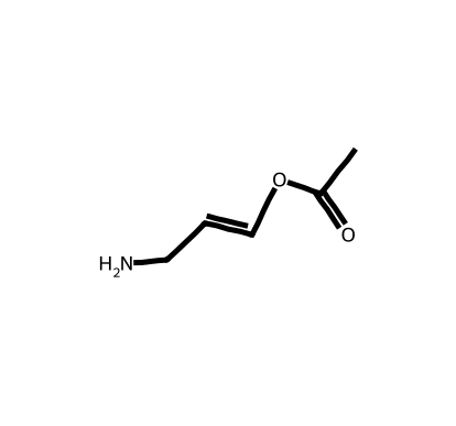 CC(=O)O/C=C/CN